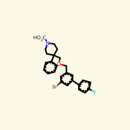 O=C(O)N1CCC(COCc2cc(Br)cc(-c3ccc(F)cc3)c2)(c2ccccc2)CC1